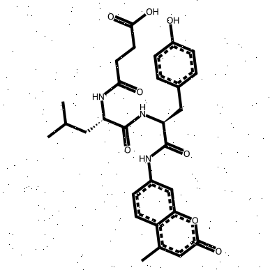 Cc1cc(=O)oc2cc(NC(=O)[C@H](Cc3ccc(O)cc3)NC(=O)[C@H](CC(C)C)NC(=O)CCC(=O)O)ccc12